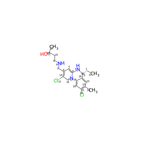 CC[C@@H](Nc1cc(CNCCC(C)O)c(Cl)cn1)c1ccc(Cl)c(C)c1